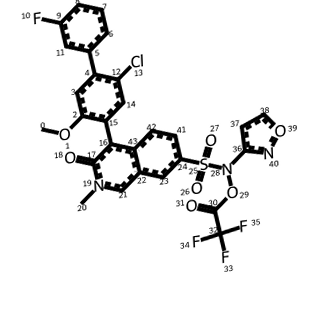 COc1cc(-c2cccc(F)c2)c(Cl)cc1-c1c(=O)n(C)cc2cc(S(=O)(=O)N(OC(=O)C(F)(F)F)c3ccon3)ccc12